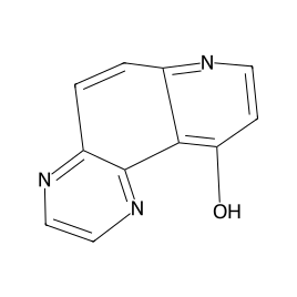 Oc1ccnc2ccc3nccnc3c12